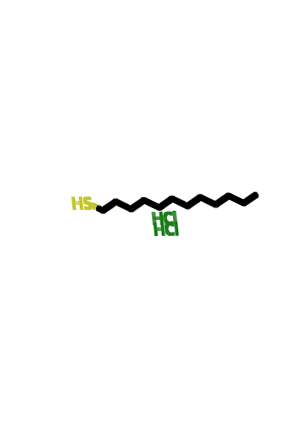 CCCCCCCCCCCCS.Cl.Cl